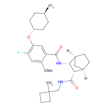 COc1cc(F)c(O[C@H]2CC[C@H](C(F)(F)F)CC2)cc1C(=O)N[C@@H]1[C@H]2CC[C@H](C2)[C@@H]1C(=O)NCC1(C)CCC1